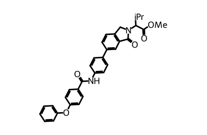 COC(=O)C(C(C)C)N1Cc2ccc(-c3ccc(NC(=O)c4ccc(Oc5ccccc5)cc4)cc3)cc2C1=O